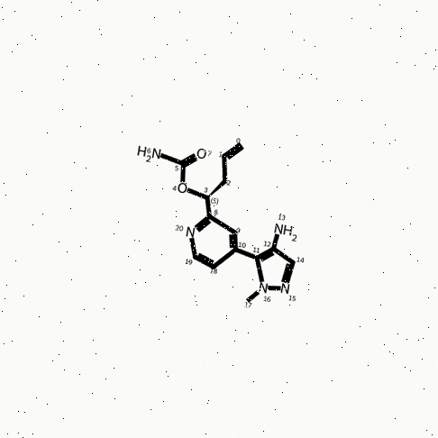 C=CC[C@H](OC(N)=O)c1cc(-c2c(N)cnn2C)ccn1